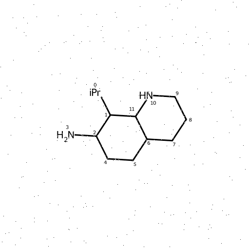 CC(C)C1C(N)CCC2CCCNC21